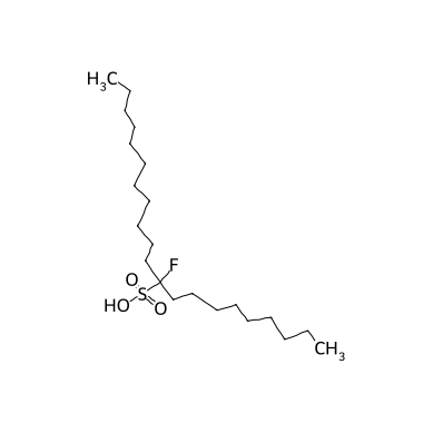 CCCCCCCCCCCC(F)(CCCCCCCCC)S(=O)(=O)O